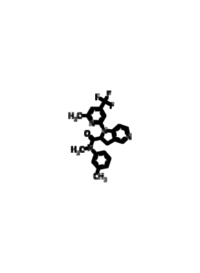 Cc1cccc(N(C)C(=O)C2Cc3cnccc3N2c2cc(C(F)(F)F)cc(C)n2)c1